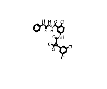 O=C(NNC(=S)Nc1ccccc1)c1cc(NC(=O)C2C(c3cc(Cl)cc(Cl)c3)C2(Cl)Cl)ccc1Cl